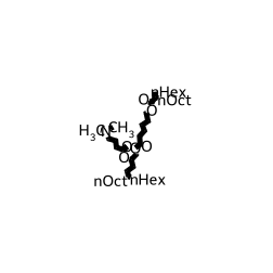 CCC[CH]CCCCC(CCCCCC)CCC(COC(=O)CCCCCOC(=O)C(CCCCCC)CCCCCCCC)OC(=O)CCCN(C)C